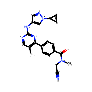 Cc1cnc(Nc2cnn(C3CC3)c2)nc1-c1ccc(C(=O)N(C)CC#N)cc1